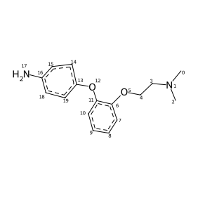 CN(C)CCOc1ccccc1Oc1ccc(N)cc1